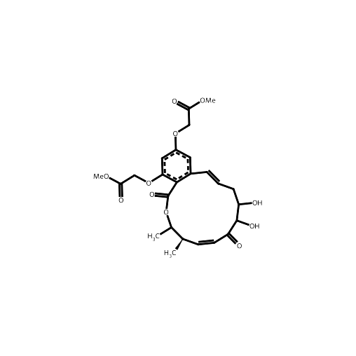 COC(=O)COc1cc2c(c(OCC(=O)OC)c1)C(=O)OC(C)[C@H](C)/C=C\C(=O)C(O)C(O)C/C=C/2